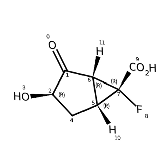 O=C1[C@H](O)C[C@@H]2[C@H]1[C@@]2(F)C(=O)O